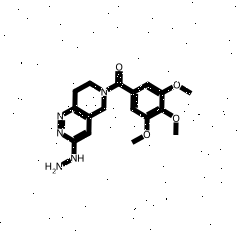 COc1cc(C(=O)N2CCc3nnc(NN)cc3C2)cc(OC)c1OC